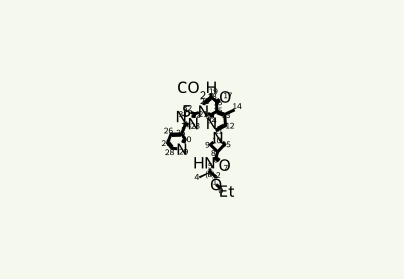 CCOC[C@@H](C)NC(=O)C1CN(c2cc(C)c3c(=O)c(C(=O)O)cn(-c4nc(-c5cccnc5)ns4)c3n2)C1